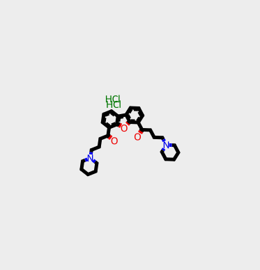 Cl.Cl.O=C(CCCN1CCCCC1)c1cccc2c1oc1c(C(=O)CCCN3CCCCC3)cccc12